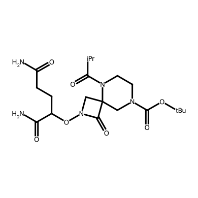 CC(C)C(=O)N1CCN(C(=O)OC(C)(C)C)CC12CN(OC(CCC(N)=O)C(N)=O)C2=O